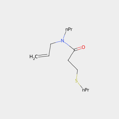 C=CCN(CCC)C(=O)CCSCCC